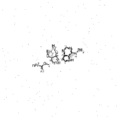 CCCC(=O)OC[C@H]1N[C@@H](c2c[nH]c3c(NP)ncnc23)[C@H](OP)[C@@H]1OP